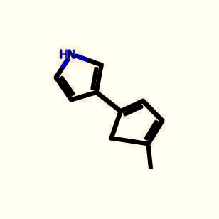 CC1=CC=C(c2cc[nH]c2)C1